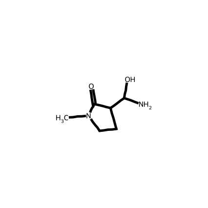 CN1CCC(C(N)O)C1=O